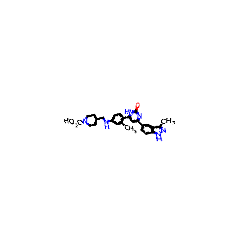 Cc1cc(NCC2CCN(C(=O)O)CC2)ccc1-c1cc(-c2ccc3[nH]nc(C)c3c2)nc(=O)[nH]1